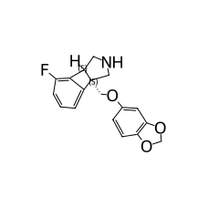 Fc1cccc2c1[C@H]1CNC[C@@]21COc1ccc2c(c1)OCO2